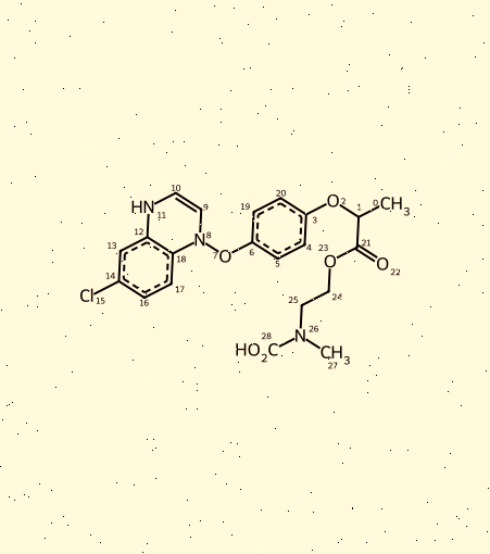 CC(Oc1ccc(ON2C=CNc3cc(Cl)ccc32)cc1)C(=O)OCCN(C)C(=O)O